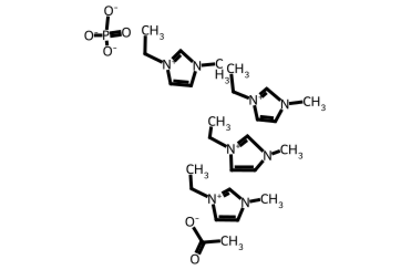 CC(=O)[O-].CC[n+]1ccn(C)c1.CC[n+]1ccn(C)c1.CC[n+]1ccn(C)c1.CC[n+]1ccn(C)c1.O=P([O-])([O-])[O-]